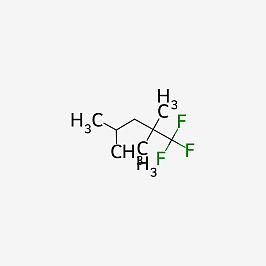 CC(C)CC(C)(C)C(F)(F)F